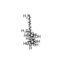 CON(CCCSCCSCCN)[C@@H]1OC(CO)[C@@H](O[C@@H]2OC(CO)[C@H](O)C(O)C2O)C(O)C1O